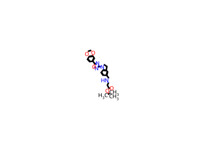 CC(C)(C)OC(=O)CCNCc1ccc2c(c1)CCN2c1noc(-c2ccc3c(c2)OCCO3)n1